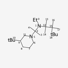 CCN(C(C)(C)N1CCCC(C(C)(C)C)C1)C(C)(C)C(C)(C)C(C)(C)C